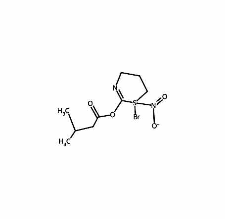 CC(C)CC(=O)OC1=NCCCS1(Br)[N+](=O)[O-]